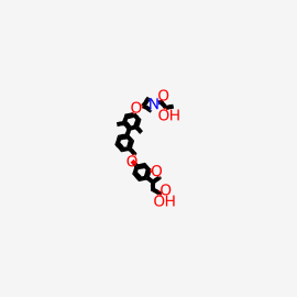 Cc1cc(OC2CN(C(=O)C(C)O)C2)cc(C)c1-c1cccc(COc2ccc3c(c2)OCC3CC(=O)O)c1